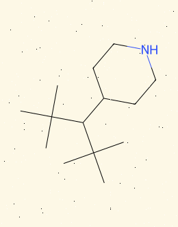 CC(C)(C)C(C1CCNCC1)C(C)(C)C